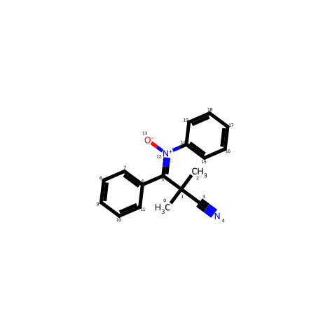 CC(C)(C#N)C(c1ccccc1)=[N+]([O-])c1ccccc1